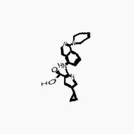 O=C(O)c1cc(C2CC2)cnc1Nc1cccc2c(N3CCCCC3)nccc12